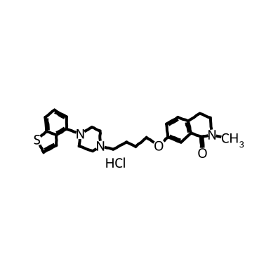 CN1CCc2ccc(OCCCCN3CCN(c4cccc5sccc45)CC3)cc2C1=O.Cl